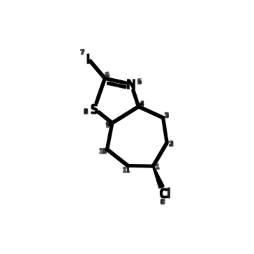 Cl[C@@H]1CCC2N=C(I)SC2CC1